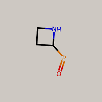 O=PC1CCN1